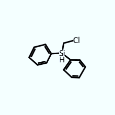 ClC[SiH](c1ccccc1)c1ccccc1